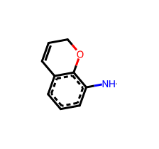 [NH]c1cccc2c1OCC=C2